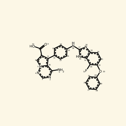 Nc1ncnn2cc(C(=O)O)c(-c3ccc(Nc4nc5ccc(Oc6ccccc6)c(F)c5[nH]4)cc3)c12